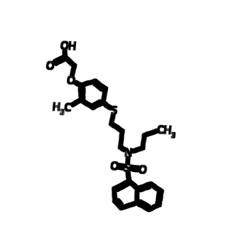 CCCN(CCCSc1ccc(OCC(=O)O)c(C)c1)S(=O)(=O)c1cccc2ccccc12